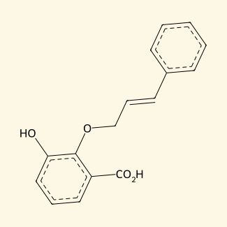 O=C(O)c1cccc(O)c1OCC=Cc1ccccc1